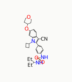 CCC(CC)NS(=O)(=O)Nc1ccc(-c2c(C#N)c3ccc(OC4CCOCC4)cc3n2C2CCC2)cc1